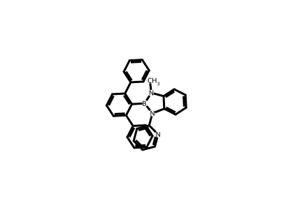 CN1B(c2c(-c3ccccc3)cccc2-c2ccccc2)N(c2ccccn2)c2ccccc21